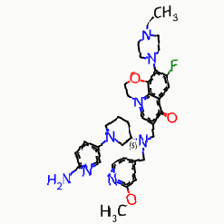 CCN1CCN(c2c(F)cc3c(=O)c(CN(Cc4ccnc(OC)c4)[C@H]4CCCN(c5ccc(N)nc5)C4)cn4c3c2OCC4)CC1